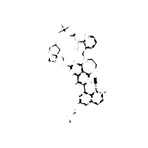 C#Cc1c(F)ccc2cc(OCOC)cc(-c3nc4c5c(nc(OC[C@@]67CCN6C[C@H](F)C7)nc5c3F)N([C@H](C)c3cccnc3NC(=O)OC(C)(C)C)CCO4)c12